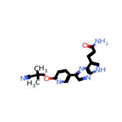 CC(C)(C#N)COc1ccc(-c2cnc3[nH]cc(C=CC(N)=O)c3n2)cn1